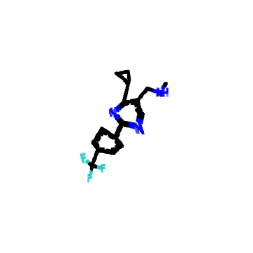 CNCc1cnc(-c2ccc(C(F)(F)F)cc2)nc1C1CC1